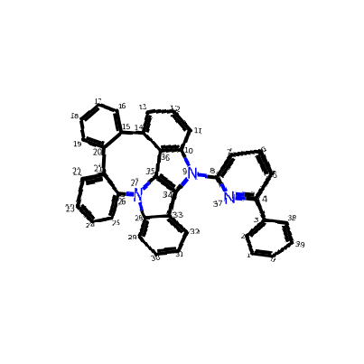 c1ccc(-c2cccc(-n3c4cccc5c6ccccc6c6ccccc6n6c7ccccc7c3c6c54)n2)cc1